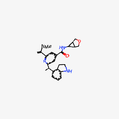 C=C(NC)c1cc(C(=O)NC2C3COCC32)cc(C(C)c2cccc3c2CCN3)n1